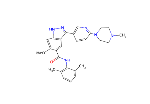 COc1cc2[nH]nc(-c3ccc(N4CCN(C)CC4)nc3)c2cc1C(=O)Nc1c(C)cccc1C